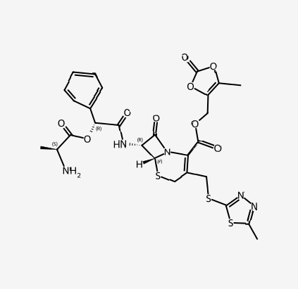 Cc1nnc(SCC2=C(C(=O)OCc3oc(=O)oc3C)N3C(=O)[C@@H](NC(=O)[C@H](OC(=O)[C@H](C)N)c4ccccc4)[C@H]3SC2)s1